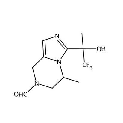 CC1CN(C=O)Cc2cnc(C(C)(O)C(F)(F)F)n21